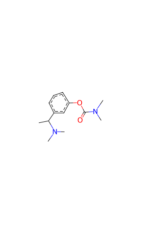 CC(c1cccc(OC(=O)N(C)C)c1)N(C)C